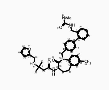 CNC(=O)NCc1ccccc1-c1ccc(CN2C(=O)[C@H](NC(=O)CC(C)(C)NCc3ccco3)CCc3cc(C(F)(F)F)ccc32)cc1